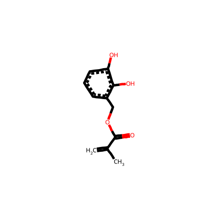 C=C(C)C(=O)OCc1cccc(O)c1O